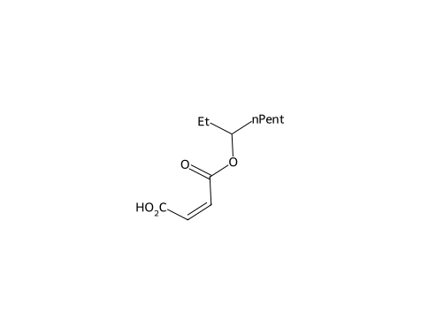 CCCCCC(CC)OC(=O)/C=C\C(=O)O